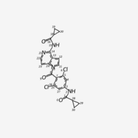 O=C(Nc1cc(Cl)c(C(=O)n2ccc3c(NC(=O)C4CC4)nccc32)c(Cl)c1)C1CC1